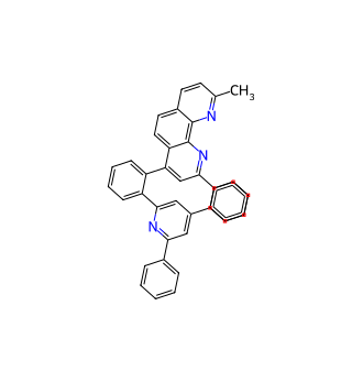 Cc1ccc2ccc3c(-c4ccccc4-c4cc(-c5ccccc5)cc(-c5ccccc5)n4)cc(-c4ccccc4)nc3c2n1